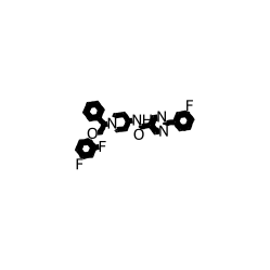 O=C(NC1CCN(C(COc2ccc(F)cc2F)c2ccccc2)CC1)c1cnc(-c2cccc(F)c2)nc1